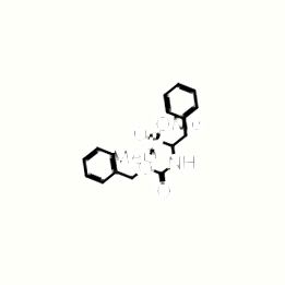 COP(=O)(OC)C(Cc1ccccc1)NC(=O)OCc1ccccc1